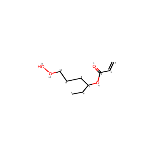 C=CC(=O)OC(CC)CCCOO